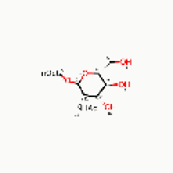 CCCCCCCCO[C@H]1O[C@H](CO)[C@@H](O)[C@H](O)[C@@H]1NC(C)=O